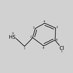 SCc1cccc(Cl)c1